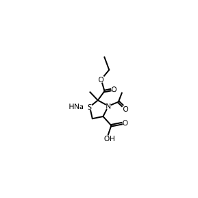 CCOC(=O)C1(C)SCC(C(=O)O)N1C(C)=O.[NaH]